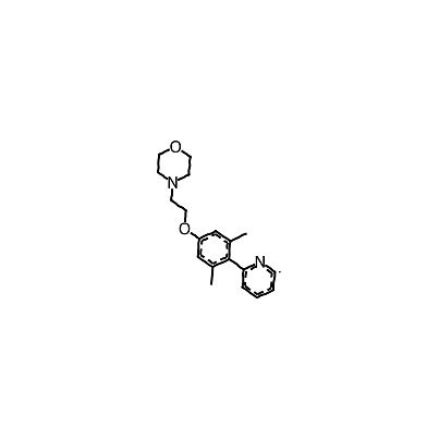 Cc1cc(OCCN2CCOCC2)cc(C)c1-c1ccc[c]n1